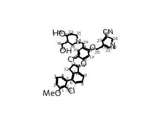 COc1cccc(-c2cccc3c2CC[C@@H]3Oc2cc(OCc3cncc(C#N)c3)c(CN3CCC(O)C(CO)C3)cc2Cl)c1Cl